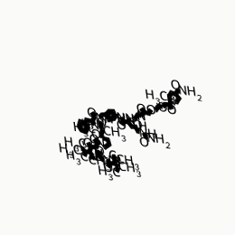 CCC(C)C(C(CC(=O)N1CCCC1C(OC)C(C)C(=O)NC(Cc1ccccc1)C(=O)NCc1ccc(NC(=O)C(CCCNC(N)=O)NC(=O)CNC(=O)COCCOCC(=O)N2CCC(C(N)=O)CC2C)cc1)OC)N(C)C(=O)CNC(=O)C(C(C)C)N(C)C